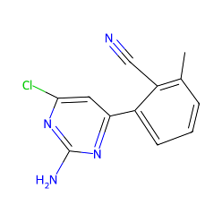 Cc1cccc(-c2cc(Cl)nc(N)n2)c1C#N